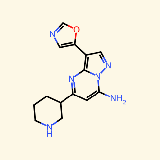 Nc1cc(C2CCCNC2)nc2c(-c3cnco3)cnn12